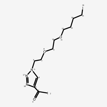 O=C(I)c1cn(CCOCCOCCCCI)nn1